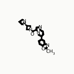 Cc1nc2cc(-c3ccc4ncc(C(=O)N5CC(n6cccn6)C5)n4c3)ccc2o1